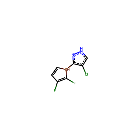 FC1=C(F)[SH](c2n[nH]cc2Cl)C=C1